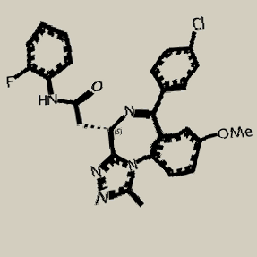 COc1ccc2c(c1)C(c1ccc(Cl)cc1)=N[C@@H](CC(=O)Nc1ccccc1F)c1nnc(C)n1-2